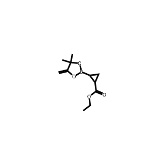 C=C1OB(C2CC2C(=O)OCC)OC1(C)C